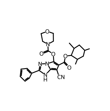 CC1CC(C)C(OC(=O)c2c(C#N)c3[nH]c(-c4ccccc4)nn3c2OC(=O)N2CCOCC2)C(C)C1